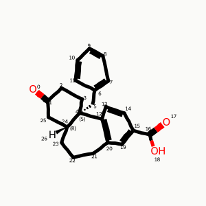 O=C1CC[C@@]2(Cc3ccccc3)c3ccc(C(=O)O)cc3CCC[C@@H]2C1